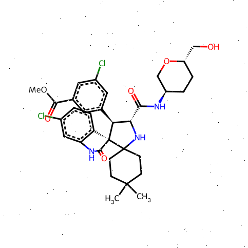 COC(=O)c1cc(Cl)cc([C@H]2[C@H](C(=O)N[C@@H]3CC[C@@H](CO)OC3)NC3(CCC(C)(C)CC3)[C@@]23C(=O)Nc2cc(Cl)ccc23)c1